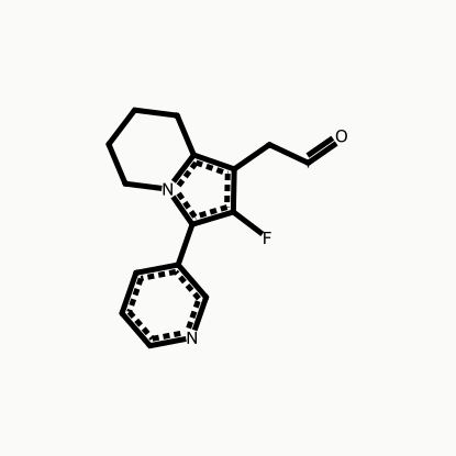 O=[C]Cc1c(F)c(-c2cccnc2)n2c1CCCC2